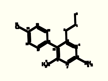 CCCc1nc(N)nc(N)c1-c1ccc(Cl)cc1